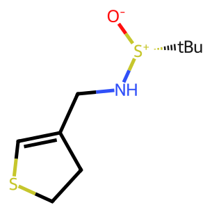 CC(C)(C)[S@@+]([O-])NCC1=CSCC1